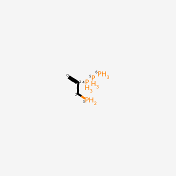 C=CCP.P.P.P